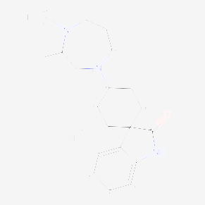 CCC1CN(C2CCC3(CC2)C(=O)Nc2cccc(C)c23)CCCN1C(=O)O